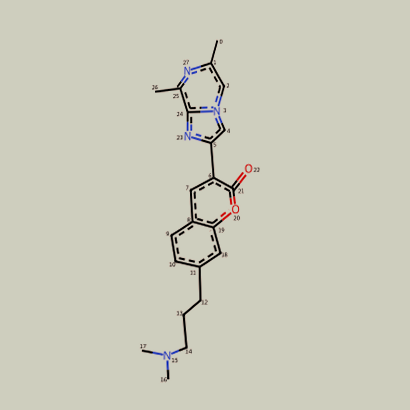 Cc1cn2cc(-c3cc4ccc(CCCN(C)C)cc4oc3=O)nc2c(C)n1